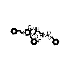 O=C(NCCC[C@@H]1NC(=O)C2(CCN(CCc3ccccc3)CC2)N(Cc2cccc(F)c2)C1=O)OCc1ccccc1